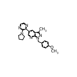 COc1ccc(Cn2nc(C)c3cc(-c4nccnc4N4CCCC4)cnc32)cc1